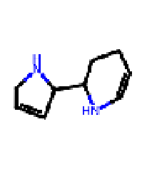 C1=CNC(C2C=CCN2)CC1